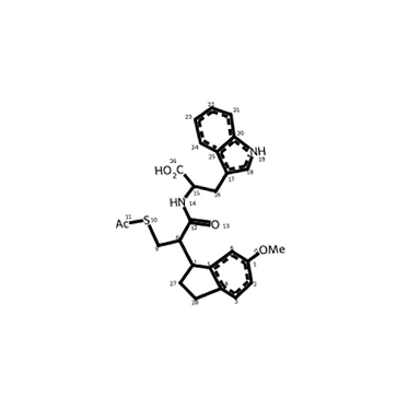 COc1ccc2c(c1)C(C(CSC(C)=O)C(=O)NC(Cc1c[nH]c3ccccc13)C(=O)O)CC2